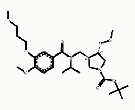 COCCCOc1cc(C(=O)N(C[C@@H]2CN(C(=O)OC(C)(C)C)C[C@H]2OSC)C(C)C)ccc1OC